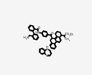 C1=CNc2ccccc2N=C1.CCOC(=O)C(C)C1CCCc2c1ccc1c2C(C(=O)c2ccc(NC(=O)c3ccccc3-c3ccccc3CN)cc2)Cc2ccccc2-1